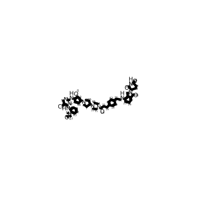 COc1cc(N2CCC(N3CCN(C(=O)CCc4ccc(CCNc5cccc6c5CN(C5CCC(=O)NC5=O)C6=O)cc4)CC3)CC2)ccc1Nc1ncc(Cl)c(Nc2ccccc2P(C)(C)=O)n1